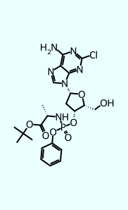 C[C@H](NP(=O)(Oc1ccccc1)O[C@@H]1C[C@H](n2cnc3c(N)nc(Cl)nc32)O[C@@H]1CO)C(=O)OC(C)(C)C